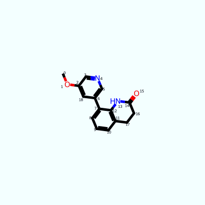 COc1cncc(-c2cccc3c2NC(=O)CC3)c1